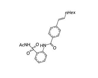 CCCCCCC=Cc1ccc(C(=O)Nc2ccccc2S(=O)(=O)NC(C)=O)cc1